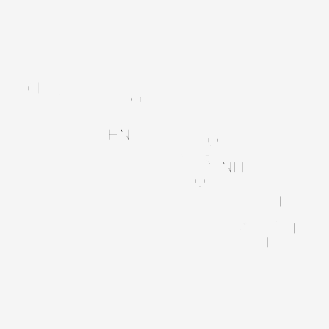 Cc1cc(NC(=O)c2ccc(Cl)cc2)ccc1S(=O)(=O)Nc1cccc(C(F)(F)F)c1